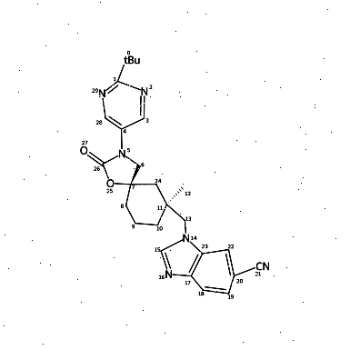 CC(C)(C)c1ncc(N2C[C@@]3(CCC[C@](C)(Cn4cnc5ccc(C#N)cc54)C3)OC2=O)cn1